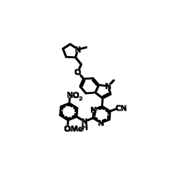 COc1ccc([N+](=O)[O-])cc1Nc1ncc(C#N)c(C2=CN(C)C3=CC(OCC4CCCN4C)=CCC23)n1